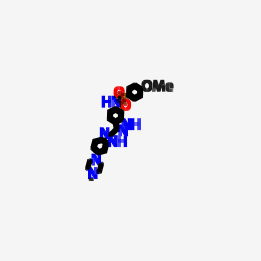 COc1ccc(S(=O)(=O)Nc2ccc3c(-c4nc5ccc(N6CCN(C)CC6)cc5[nH]4)n[nH]c3c2)cc1